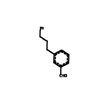 CC(C)CCCc1cccc(C=O)c1